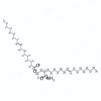 CCCCCCCCC=CCCCCCCCC(=O)OC(C)CC(CCCCCCC=CCCCCCCCC)C(N)=O